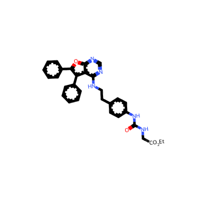 CCOC(=O)CNC(=O)Nc1ccc(CCNc2ncnc3oc(-c4ccccc4)c(-c4ccccc4)c23)cc1